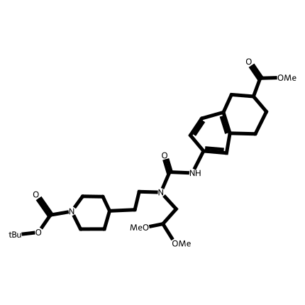 COC(=O)C1CCc2cc(NC(=O)N(CCC3CCN(C(=O)OC(C)(C)C)CC3)CC(OC)OC)ccc2C1